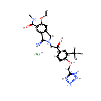 CCOc1cc2c(cc1C(=O)NC)C(=N)N(CC(=O)c1ccc(OCc3nn[nH]n3)c(C(C)(C)C)c1)C2.Cl